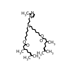 CC(C)=CCCC(C)CC(=O)OCCCCCCN(CCCCCCOC(=O)CC(C)CCC=C(C)C)CCCn1ccnc1C